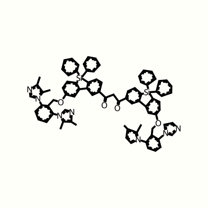 Cc1ccn(-c2cccc(-n3ccnc3)c2COc2ccc3c(c2)-c2cc(C(=O)CC(=O)c4ccc5c(c4)-c4cc(OCc6c(-n7cnc(C)c7C)cccc6-n6cnc(C)c6C)ccc4[Si]5(c4ccccc4)c4ccccc4)ccc2[Si]3(c2ccccc2)c2ccccc2)c1C